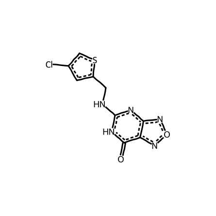 O=c1[nH]c(NCc2cc(Cl)cs2)nc2nonc12